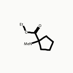 CCOC(=O)C1(NC)CCCC1